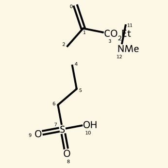 C=C(C)C(=O)OCC.CCCS(=O)(=O)O.CNC